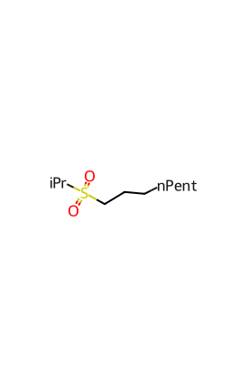 CCCCCCCCS(=O)(=O)C(C)C